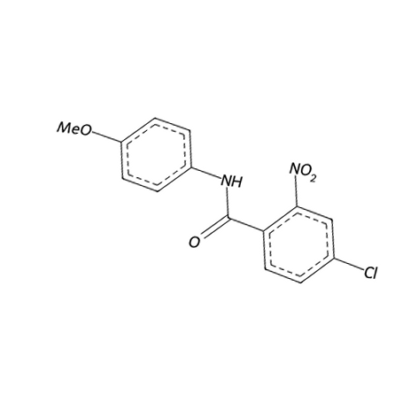 COc1ccc(NC(=O)c2ccc(Cl)cc2[N+](=O)[O-])cc1